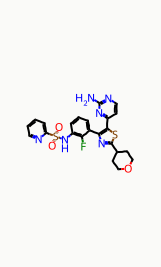 Nc1nccc(-c2sc(C3CCOCC3)nc2-c2cccc(NS(=O)(=O)c3ccccn3)c2F)n1